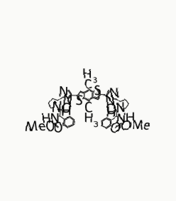 COC(=O)NC(C(=O)N1CCCC1c1ncc(-c2cc3c(C)c4sc(-c5cnc(C6CCCN6C(=O)C(NC(=O)OC)c6ccccc6)[nH]5)cc4c(C)c3s2)[nH]1)c1ccccc1